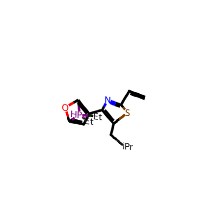 C=Cc1nc(-c2cc3oc2[PH]3(CC)CC)c(CC(C)C)s1